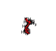 Cc1ncsc1-c1ccc(CNC(=O)[C@@H]2C[C@@H](O)CN2C(=O)[C@@H](NC(=O)COCCOCCNC(=O)CN2CCN(c3ccc(C(=O)Nc4n[nH]c5ccc(Cc6cc(F)cc(F)c6)cc45)c(NC4CCOCC4)c3)CC2)C(C)(C)C)cc1